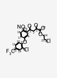 O=C(CC(=O)c1cc(Oc2ccc(C(F)(F)F)cc2Cl)ccc1[N+](=O)[O-])C(=O)OCCCl